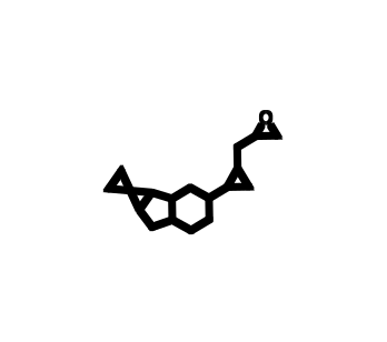 C1OC1CC1CC1C1CCC2CC3C(C2C1)C31CC1